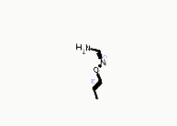 C/C=C/O/N=C\N